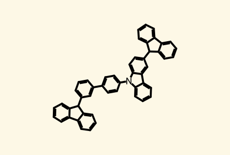 c1cc(-c2ccc(-n3c4ccccc4c4cc(C5c6ccccc6-c6ccccc65)ccc43)cc2)cc(C2c3ccccc3-c3ccccc32)c1